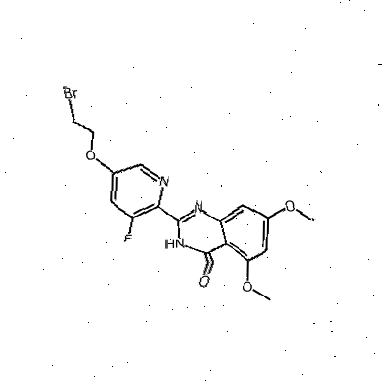 COc1cc(OC)c2c(=O)[nH]c(-c3ncc(OCCBr)cc3F)nc2c1